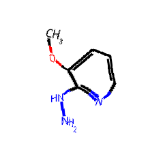 COc1cccnc1NN